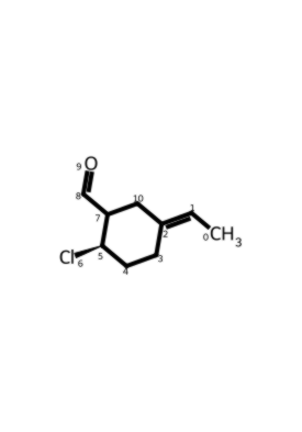 C/C=C1\CC[C@@H](Cl)C(C=O)C1